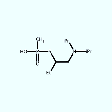 CCC(CN(C(C)C)C(C)C)SP(C)(=O)O